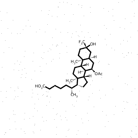 CC(=O)O[C@@H]1C[C@@H]2C[C@](O)(C(F)(F)F)CC[C@]2(C)[C@H]2CC[C@]3(C)[C@@H]([C@H](C)CCCCC(=O)O)CC[C@H]3[C@H]12